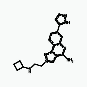 Nc1nc2cc(-c3ccn[nH]3)ccc2c2nn(CCNC3CCC3)cc12